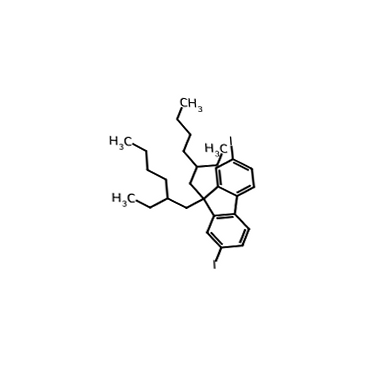 CCCCC(CC)CC1(CC(CC)CCCC)c2cc(I)ccc2-c2ccc(I)cc21